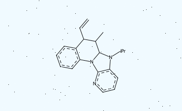 C=CC1c2ccccc2N2c3ncccc3N(C(C)C)C2C1C